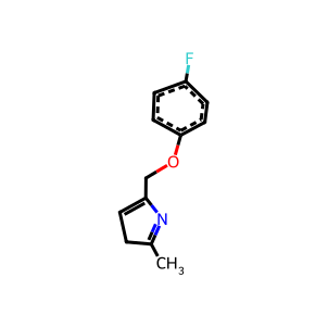 CC1=NC(COc2ccc(F)cc2)=CC1